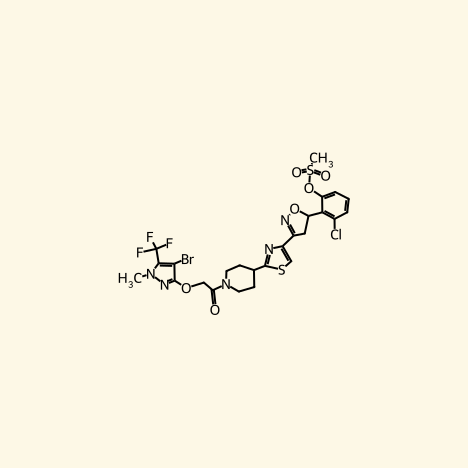 Cn1nc(OCC(=O)N2CCC(c3nc(C4=NOC(c5c(Cl)cccc5OS(C)(=O)=O)C4)cs3)CC2)c(Br)c1C(F)(F)F